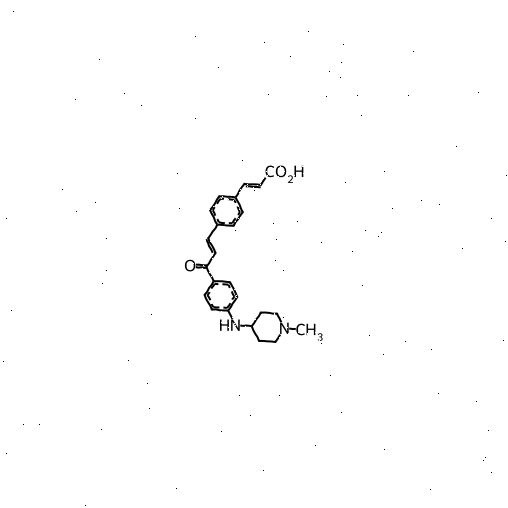 CN1CCC(Nc2ccc(C(=O)C=Cc3ccc(C=CC(=O)O)cc3)cc2)CC1